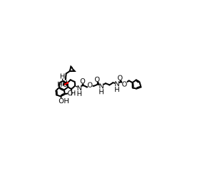 O=C(COCC(=O)N[C@@H]1CC[C@@]2(O)[C@H]3Cc4ccc(O)c5c4[C@@]2(CCN3CC2CC2)[C@H]1O5)NCCCNC(=O)OCc1ccccc1